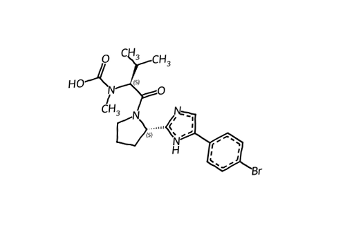 CC(C)[C@@H](C(=O)N1CCC[C@H]1c1ncc(-c2ccc(Br)cc2)[nH]1)N(C)C(=O)O